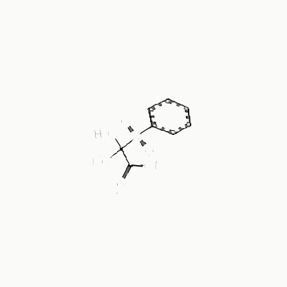 CC(O)(C(=O)O)S(=O)(=O)c1ccccc1